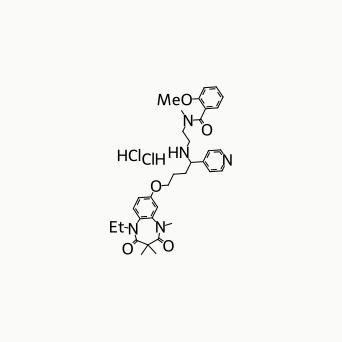 CCN1C(=O)C(C)(C)C(=O)N(C)c2cc(OCCCC(NCCN(C)C(=O)c3ccccc3OC)c3ccncc3)ccc21.Cl.Cl